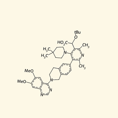 COc1cc2ncnc(N3CCc4cc(-c5c(C)nc(C)c(C(OC(C)(C)C)C(=O)O)c5N5CCC(C)(C)CC5)ccc4C3)c2cc1OC